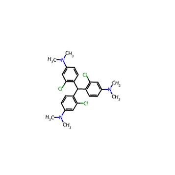 CN(C)c1ccc(C(c2ccc(N(C)C)cc2Cl)c2ccc(N(C)C)cc2Cl)c(Cl)c1